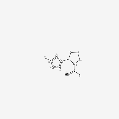 CC(=N)N1CCCC1c1noc(C)n1